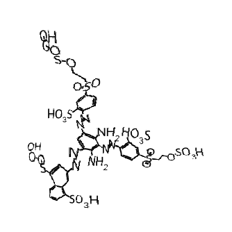 Nc1c(/N=N/c2cc(SOOO)c3cccc(S(=O)(=O)O)c3c2)cc(/N=N/c2ccc(S(=O)(=O)CCOSOOO)cc2S(=O)(=O)O)c(N)c1/N=N/c1ccc(S(=O)(=O)CCOS(=O)(=O)O)cc1S(=O)(=O)O